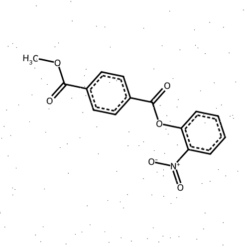 COC(=O)c1ccc(C(=O)Oc2ccccc2[N+](=O)[O-])cc1